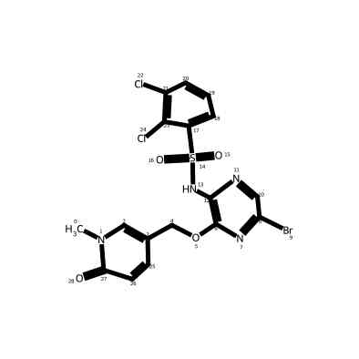 Cn1cc(COc2nc(Br)cnc2NS(=O)(=O)c2cccc(Cl)c2Cl)ccc1=O